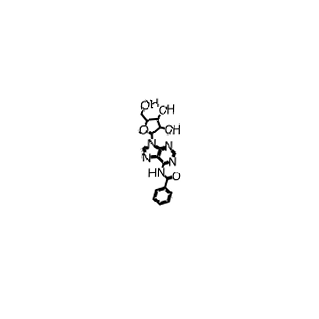 O=C(Nc1ncnc2c1ncn2C1OC(CO)C(O)C1O)c1ccccc1